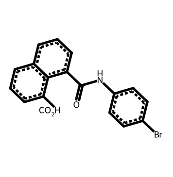 O=C(O)c1cccc2cccc(C(=O)Nc3ccc(Br)cc3)c12